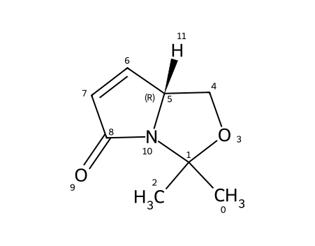 CC1(C)OC[C@H]2C=CC(=O)N21